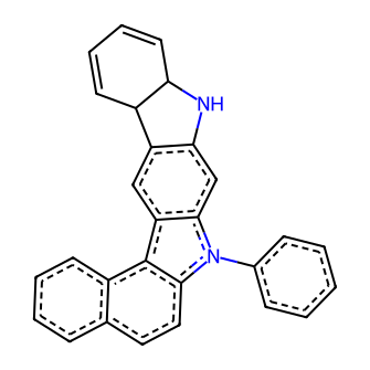 C1=CC2Nc3cc4c(cc3C2C=C1)c1c2ccccc2ccc1n4-c1ccccc1